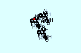 O=c1[nH]c2cc(-c3c(F)cncc3F)c(-c3ccccc3F)nc2[nH]1.O=c1[nH]c2cc(-c3ccncc3Cl)c(-c3ccccc3F)nc2[nH]1.O=c1[nH]c2cc(-c3ccncc3F)c(-c3ccccc3F)nc2[nH]1